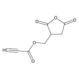 C#CC(=O)OCC1CC(=O)OC1=O